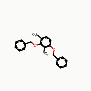 O=[N+]([O-])c1ccc(OCc2ccccc2)c([N+](=O)[O-])c1OCc1ccccc1